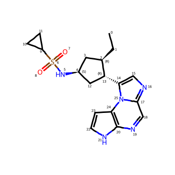 CC[C@@H]1C[C@H](NS(=O)(=O)C2CC2)C[C@H]1c1cnc2cnc3[nH]ccc3n12